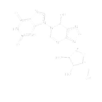 O=c1[nH]c(=O)c2ncn(N3C=Nc4c(ncn4[C@@H]4O[C@H](CO)C(O)C4O)C3O)c2[nH]1